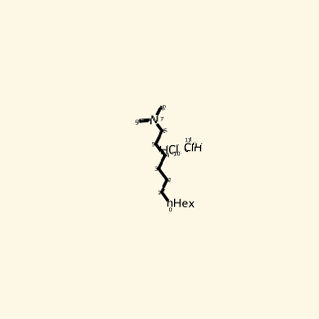 CCCCCCCCCCCCN(C)C.Cl.Cl